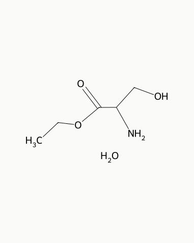 CCOC(=O)C(N)CO.O